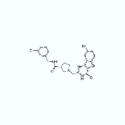 O=C(NCc1cccc(Cl)c1)C1CCN(Cc2nc3c(oc4ccc(Br)cc43)c(=O)[nH]2)C1